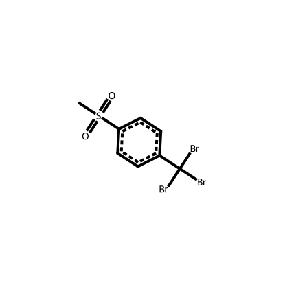 CS(=O)(=O)c1ccc(C(Br)(Br)Br)cc1